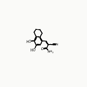 N#CC(=Cc1cc(O)c(O)c2c1CCCC2)C(N)=O